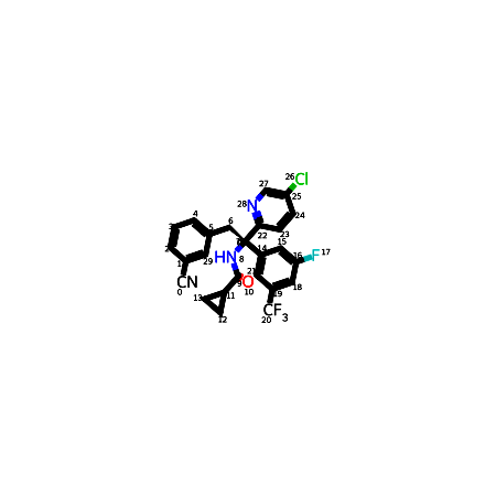 N#Cc1cccc(C[C@](NC(=O)C2CC2)(c2cc(F)cc(C(F)(F)F)c2)c2ccc(Cl)cn2)c1